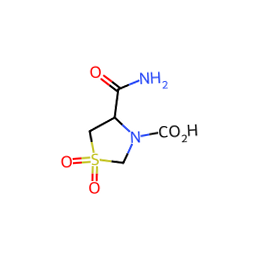 NC(=O)C1CS(=O)(=O)CN1C(=O)O